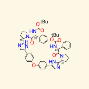 CC(C)(C)OC(=O)N[C@@H](C(=O)N1CCC[C@H]1c1ncc(-c2ccc(Oc3ccc(-c4cnc([C@@H]5CCCN5C(=O)[C@H](NC(=O)OC(C)(C)C)c5ccccc5)[nH]4)cc3)cc2)[nH]1)c1ccccc1